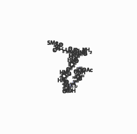 CSC1CC(=O)N(CCCCCC(=O)N[C@H](C(=O)N[C@@H](CCCNC(N)=O)C(=O)Nc2ccc(COC(=O)N[C@H]3CC[C@H](NC(=O)C[C@@H]4C[C@@]5(CO5)[C@H](O)[C@@H](/C=C/C(C)=C/C[C@@H]5O[C@H](C)[C@H](NC(=O)/C=C\[C@H](C)OC(C)=O)C[C@@H]5C)O4)CC3)cc2)C(C)C)C1=O